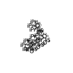 CC(C)c1ccc(C([O-])=S)c(C(C)C)c1C(C)C.CC(C)c1ccc(C([O-])=S)c(C(C)C)c1C(C)C.CC(C)c1ccc(C([O-])=S)c(C(C)C)c1C(C)C.CC(C)c1ccc(C([O-])=S)c(C(C)C)c1C(C)C.[Ti+4]